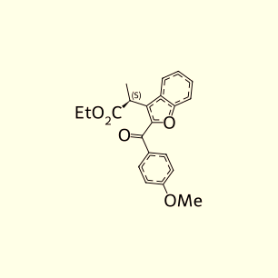 CCOC(=O)[C@@H](C)c1c(C(=O)c2ccc(OC)cc2)oc2ccccc12